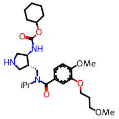 COCCCOc1cc(C(=O)N(C[C@@H]2CNC[C@H]2NC(=O)OC2CCCCC2)C(C)C)ccc1OC